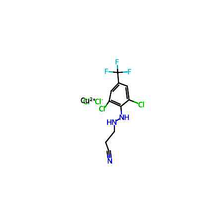 N#CCCNNc1c(Cl)cc(C(F)(F)F)cc1Cl.[Cl-].[Cl-].[Cu+2]